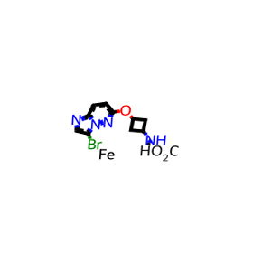 O=C(O)NC1CC(Oc2ccc3ncc(Br)n3n2)C1.[Fe]